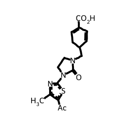 CC(=O)c1sc(N2CCN(CC3C=CC(C(=O)O)=CC3)C2=O)nc1C